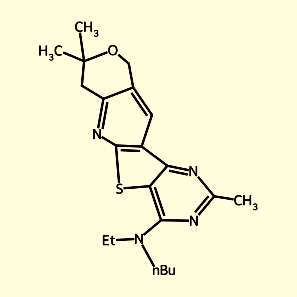 CCCCN(CC)c1nc(C)nc2c1sc1nc3c(cc12)COC(C)(C)C3